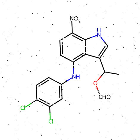 CC(OC=O)c1c[nH]c2c([N+](=O)[O-])ccc(Nc3ccc(Cl)c(Cl)c3)c12